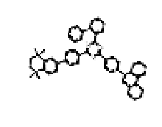 CC1(C)CCC(C)(C)c2cc(-c3ccc(-c4nc(-c5ccc(-c6cc7ccccc7c7ccccc67)cc5)nc(-c5ccccc5-c5ccccc5)n4)cc3)ccc21